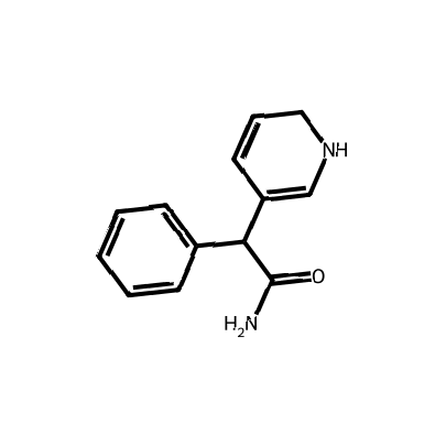 NC(=O)C(C1=CNCC=C1)c1ccccc1